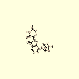 O=C1CCC(N2Cc3c(cccc3N3C4CNCC3C4)C2=O)C(=O)N1